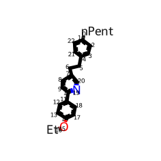 CCCCCc1ccc(CCc2ccc(-c3ccc(OCC)cc3)nc2)cc1